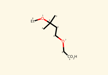 CCOC(C)(C)CCOCC(=O)O